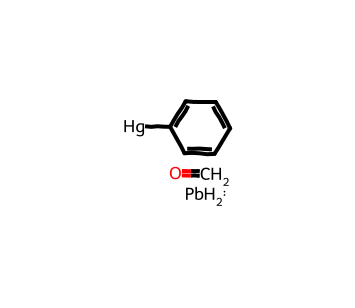 C=O.[Hg][c]1ccccc1.[PbH2]